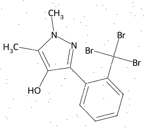 Cc1c(O)c(-c2ccccc2C(Br)(Br)Br)nn1C